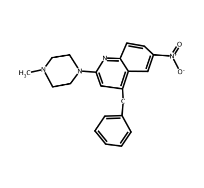 CN1CCN(c2cc(Cc3ccccc3)c3cc([N+](=O)[O-])ccc3n2)CC1